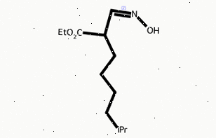 CCOC(=O)C(/C=N\O)CCCCC(C)C